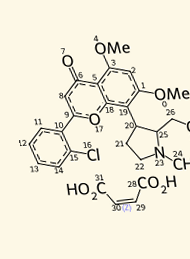 COc1cc(OC)c2c(=O)cc(-c3ccccc3Cl)oc2c1C1CCN(C)C1CO.O=C(O)/C=C\C(=O)O